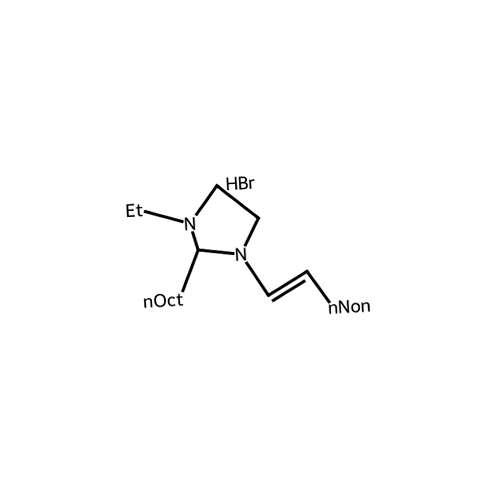 Br.CCCCCCCCCC=CN1CCN(CC)C1CCCCCCCC